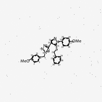 COc1ccc(Cn2nnc(-c3cnn(-c4ccc(OC)cc4)c3SCc3ccccc3)n2)cc1